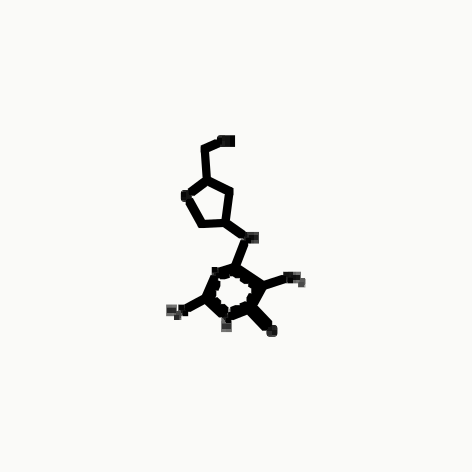 Nc1nc(NC2COC(CO)C2)c(N)c(=O)[nH]1